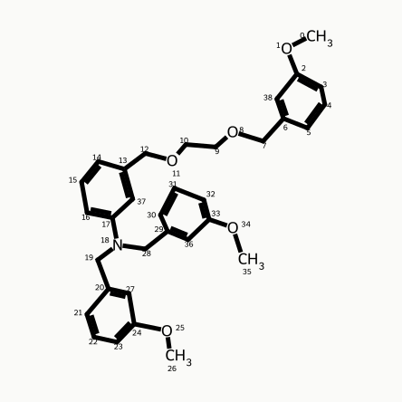 COc1cccc(COCCOCc2cccc(N(Cc3cccc(OC)c3)Cc3cccc(OC)c3)c2)c1